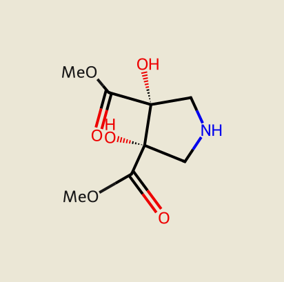 COC(=O)[C@]1(O)CNC[C@]1(O)C(=O)OC